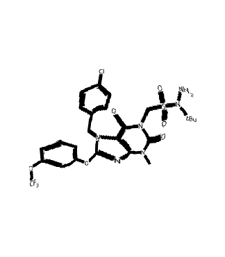 Cn1c(=O)n(CS(=O)(=O)N(N)C(C)(C)C)c(=O)c2c1nc(Oc1cccc(OC(F)(F)F)c1)n2Cc1ccc(Cl)cc1